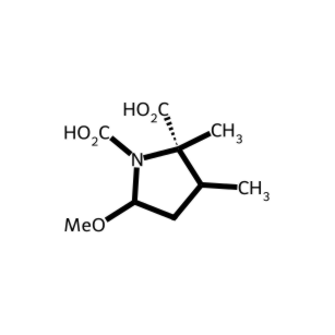 COC1CC(C)[C@@](C)(C(=O)O)N1C(=O)O